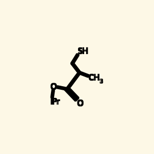 CC(C)OC(=O)C(C)CS